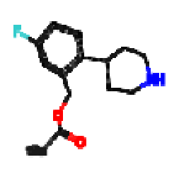 CC(C)(C)C(=O)OCc1cc(F)ccc1C1CCNCC1